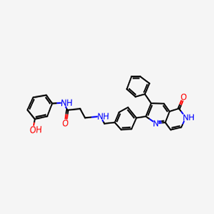 O=C(CCNCc1ccc(-c2nc3cc[nH]c(=O)c3cc2-c2ccccc2)cc1)Nc1cccc(O)c1